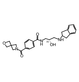 O=C(NC[C@@H](O)CNC1Cc2ccccc2C1)c1ccc(C(=O)N2CC3(COC3)C2)cc1